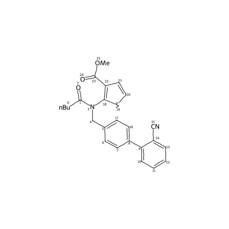 CCCCC(=O)N(Cc1ccc(-c2ccccc2C#N)cc1)c1sccc1C(=O)OC